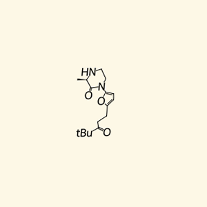 C[C@H]1NCCN(c2ccc(CCC(=O)C(C)(C)C)o2)C1=O